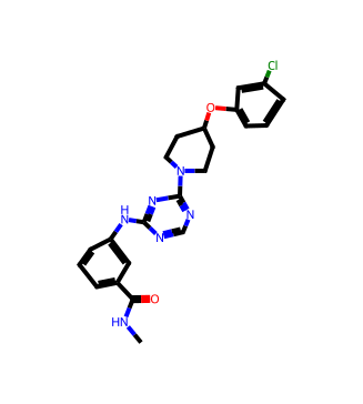 CNC(=O)c1cccc(Nc2ncnc(N3CCC(Oc4cccc(Cl)c4)CC3)n2)c1